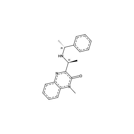 C[C@H](N[C@H](C)c1ccccc1)c1nc2ccccc2n(C)c1=O